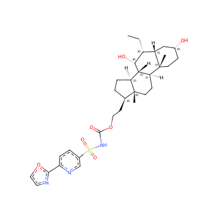 CC[C@H]1[C@@H](O)[C@@H]2[C@H](CC[C@]3(C)[C@@H](CCOC(=O)NS(=O)(=O)c4ccc(-c5ncco5)nc4)CC[C@@H]23)[C@@]2(C)CC[C@@H](O)C[C@@H]12